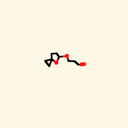 OCCCOC1CCC2(CC2)O1